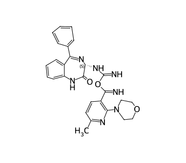 Cc1ccc(C(=N)OC(=N)N[C@H]2N=C(c3ccccc3)c3ccccc3NC2=O)c(N2CCOCC2)n1